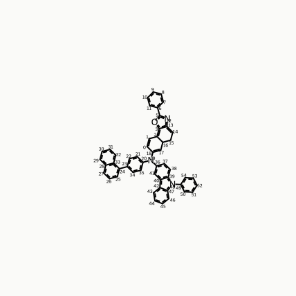 C1=CC2=c3oc(-c4ccccc4)nc3=CCC2C=C1N(c1ccc(-c2cccc3ccccc23)cc1)c1ccc2c(c1)c1ccccc1n2-c1ccccc1